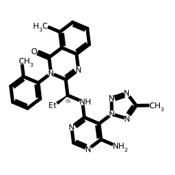 CC[C@H](Nc1ncnc(N)c1-n1nnc(C)n1)c1nc2cccc(C)c2c(=O)n1-c1ccccc1C